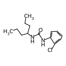 CCCC(CCC)NC(=O)Nc1ccccc1Cl